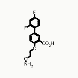 NOCCOc1ccc(-c2ccc(F)cc2F)cc1C(=O)O